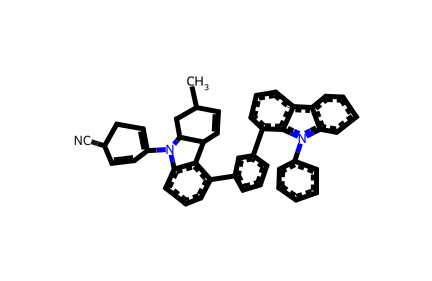 CC1C=CC2c3c(-c4cccc(-c5cccc6c7ccccc7n(-c7ccccc7)c56)c4)cccc3N(C3=CCC(C#N)C=C3)C2C1